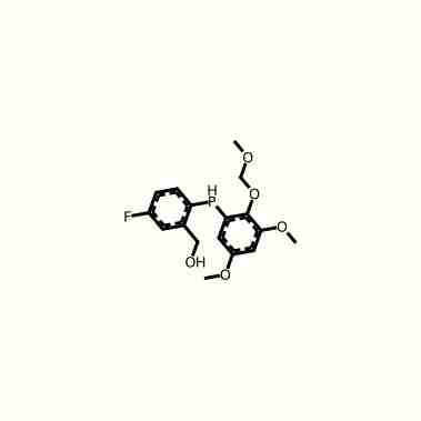 COCOc1c(OC)cc(OC)cc1Pc1ccc(F)cc1CO